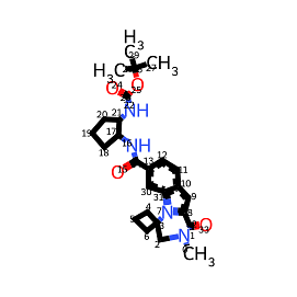 CN1CC2(CCC2)n2c(cc3ccc(C(=O)NC4CCCC4NC(=O)OC(C)(C)C)cc32)C1=O